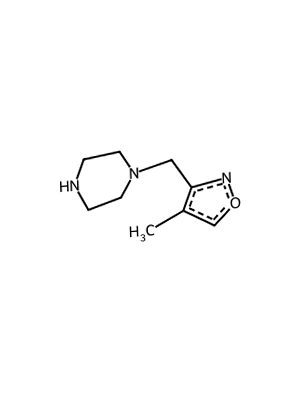 Cc1conc1CN1CCNCC1